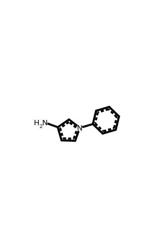 Nc1ccn(-c2ccccc2)c1